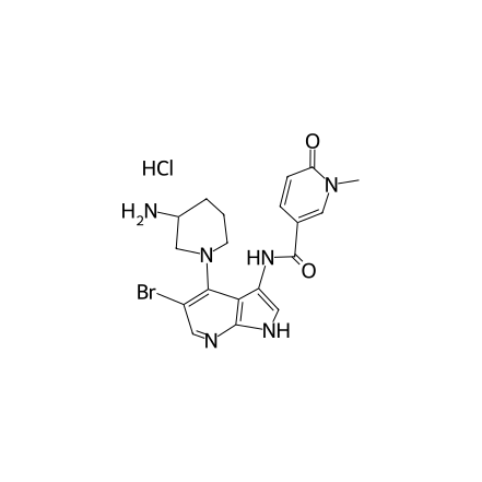 Cl.Cn1cc(C(=O)Nc2c[nH]c3ncc(Br)c(N4CCCC(N)C4)c23)ccc1=O